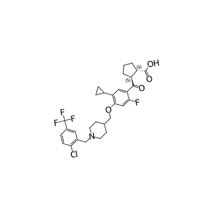 O=C(O)[C@H]1CCC[C@@H]1C(=O)c1cc(C2CC2)c(OCC2CCN(Cc3cc(C(F)(F)F)ccc3Cl)CC2)cc1F